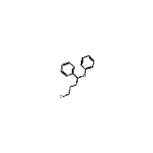 ClCCCC(Oc1ccccc1)c1ccccc1